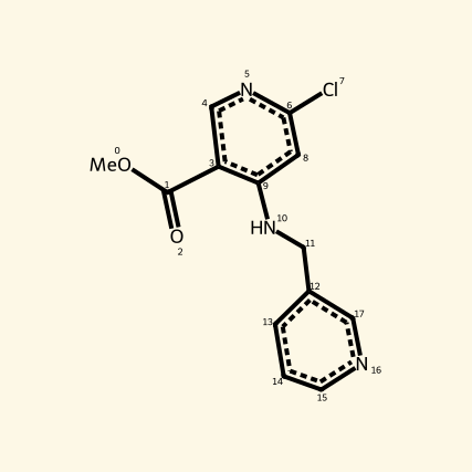 COC(=O)c1cnc(Cl)cc1NCc1cccnc1